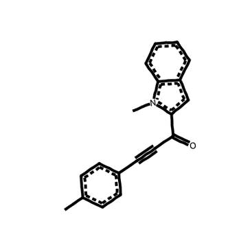 Cc1ccc(C#CC(=O)c2cc3ccccc3n2C)cc1